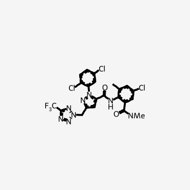 CNC(=O)c1cc(Cl)cc(C)c1NC(=O)c1cc(Cn2nnc(C(F)(F)F)n2)nn1-c1cc(Cl)ccc1Cl